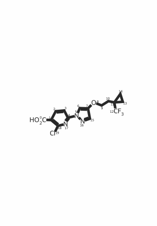 O=C(O)c1ccc(-n2cc(OCCC3(C(F)(F)F)CC3)cn2)nc1Cl